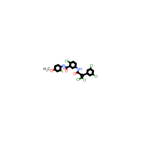 COc1ccc(NC(=O)c2cc(NC(=O)C3C(c4cc(Cl)cc(Cl)c4)C3(Cl)Cl)ccc2Cl)c(F)c1